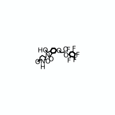 O=C1CCC(N2C(=O)c3cc(OCC(=O)Oc4c(F)c(F)c(F)c(F)c4F)ccc3C2O)C(=O)N1